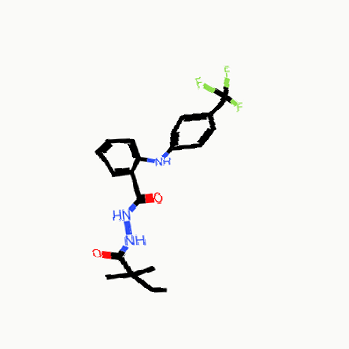 CCC(C)(C)C(=O)NNC(=O)c1ccccc1Nc1ccc(C(F)(F)F)cc1